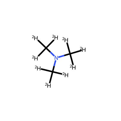 [2H]C([2H])([2H])N(C([2H])([2H])[2H])C([2H])([2H])[2H]